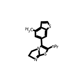 CCCC1=C(c2cc(C)c3ccsc3c2)N2CCN=C2S1